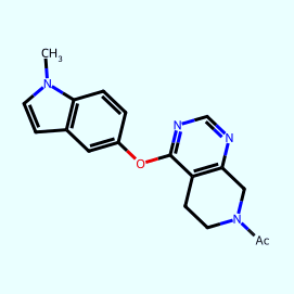 CC(=O)N1CCc2c(ncnc2Oc2ccc3c(ccn3C)c2)C1